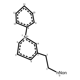 CCCCCCCCCCCc1ccc[n+](-c2ccccc2)c1